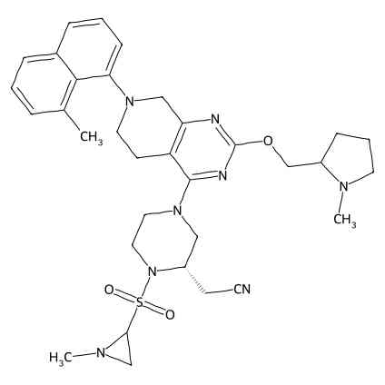 Cc1cccc2cccc(N3CCc4c(nc(OCC5CCCN5C)nc4N4CCN(S(=O)(=O)C5CN5C)[C@@H](CC#N)C4)C3)c12